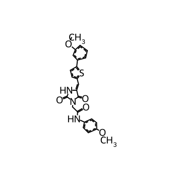 COc1ccc(NC(=O)CN2C(=O)N/C(=C\c3ccc(-c4cccc(OC)c4)s3)C2=O)cc1